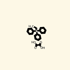 CC[PH](c1ccccc1)(c1ccccc1)c1ccccc1.O=C(O)C(=O)O